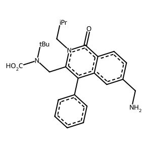 CC(C)Cn1c(CN(C(=O)O)C(C)(C)C)c(-c2ccccc2)c2cc(CN)ccc2c1=O